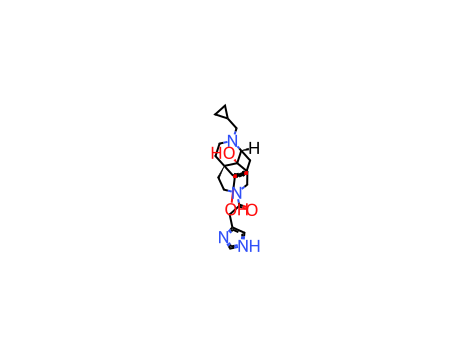 O=C(Cc1c[nH]cn1)N1CC[C@]23CCN(CC4CC4)[C@H](Cc4ccc(O)cc42)[C@]3(O)CC1